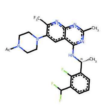 CC(=O)N1CCN(c2cc3c(N[C@H](C)c4cccc(C(F)F)c4F)nc(C)nc3nc2C(F)(F)F)CC1